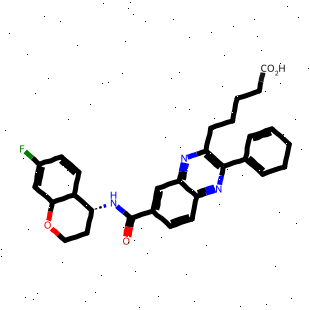 O=C(O)CCCCc1nc2cc(C(=O)N[C@@H]3CCOC4C=C(F)C=CC43)ccc2nc1C1=CCCC=C1